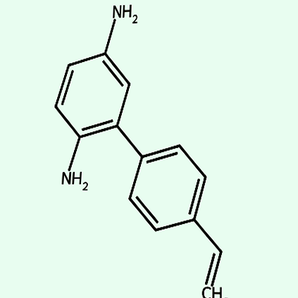 C=Cc1ccc(-c2cc(N)ccc2N)cc1